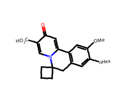 CCCCCCc1cc2c(cc1OC)-c1cc(=O)c(C(=O)O)cn1C1(CCC1)C2